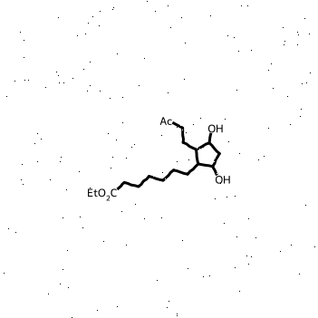 CCOC(=O)CCCCCCC1C(O)CC(O)C1CCC(C)=O